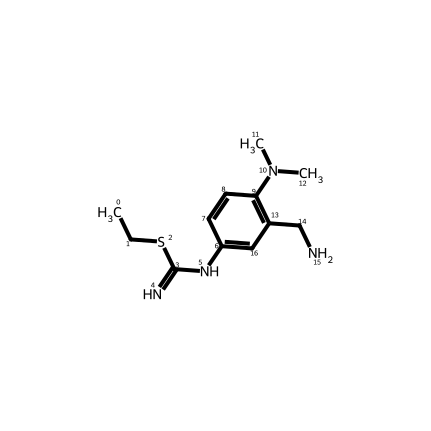 CCSC(=N)Nc1ccc(N(C)C)c(CN)c1